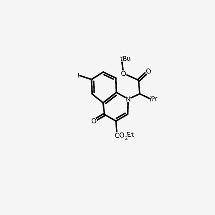 CCOC(=O)c1cn(C(C(=O)OC(C)(C)C)C(C)C)c2ccc(I)cc2c1=O